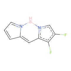 Fc1cn2c(c1F)C=C1C=CC=[N+]1B2